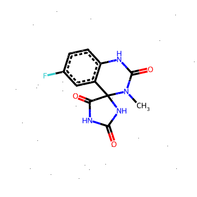 CN1C(=O)Nc2ccc(F)cc2C12NC(=O)NC2=O